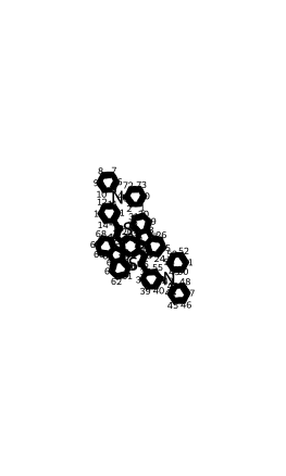 c1ccc(N(c2ccccc2)c2cccc(-c3cc4c(s3)C3(c5ccccc5-c5ccccc53)c3cc(-c5cccc(N(c6ccccc6)c6ccccc6)c5)sc3C43c4ccccc4-c4ccccc43)c2)cc1